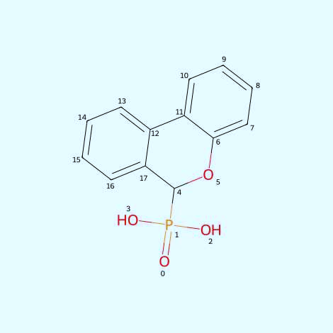 O=P(O)(O)C1Oc2ccccc2-c2ccccc21